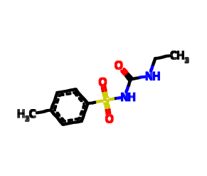 CCNC(=O)NS(=O)(=O)c1ccc(C)cc1